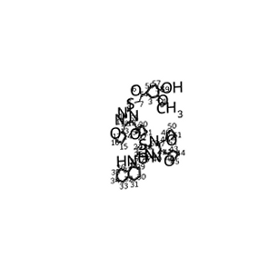 COc1cc(C(=O)CSc2nnc(-c3ccco3)c(-c3ccc([SH](CC(=O)Nc4cccc5ccccc45)c4nnc(-c5ccco5)c(-c5ccco5)n4)o3)n2)ccc1O